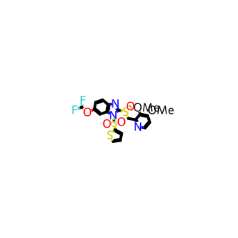 COc1ccnc(C[S+]([O-])c2nc3ccc(OC(F)F)cc3n2S(=O)(=O)c2cccs2)c1OC